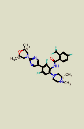 C[C@@H]1CN(c2ncc(-c3c(F)cc(N4CCN(C)[C@@H](C)C4)c(NC(=O)c4ccc(F)cc4C(F)F)c3F)cn2)C[C@H](C)O1